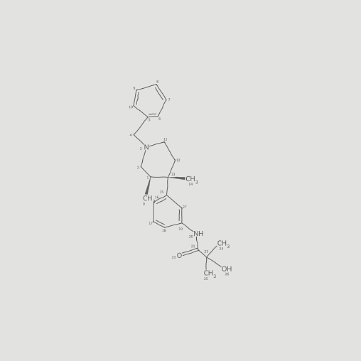 C[C@H]1CN(Cc2ccccc2)CC[C@]1(C)c1cccc(NC(=O)C(C)(C)O)c1